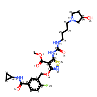 COC(=O)c1c(OCc2cc(C(=O)NC3CC3)ccc2F)nsc1NC(=O)NCCCCN1CC[C@@H](O)C1